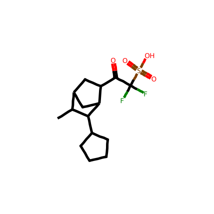 CC1C2CC(C(=O)C(F)(F)S(=O)(=O)O)C(C2)C1C1CCCC1